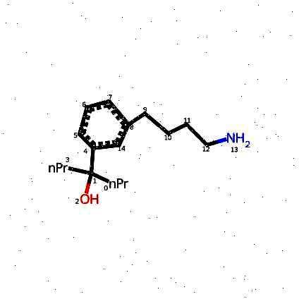 CCCC(O)(CCC)c1cccc(CCCCN)c1